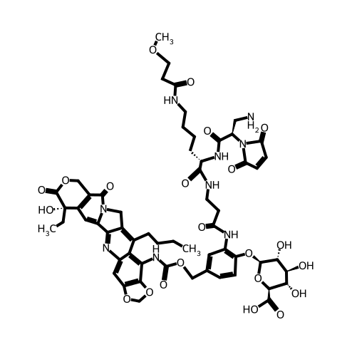 CCCCc1c2c(nc3cc4c(c(NC(=O)OCc5ccc(O[C@@H]6O[C@H](C(=O)O)[C@@H](O)[C@H](O)[C@H]6O)c(NC(=O)CCNC(=O)[C@H](CCCCNC(=O)CCOC)NC(=O)[C@@H](CN)N6C(=O)C=CC6=O)c5)c13)OCO4)-c1cc3c(c(=O)n1C2)COC(=O)[C@]3(O)CC